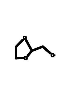 [O]CC1OCCO1